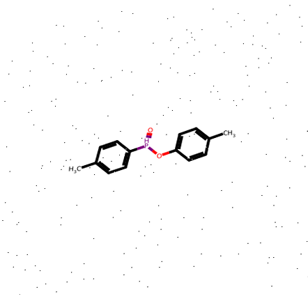 Cc1ccc(O[PH](=O)c2ccc(C)cc2)cc1